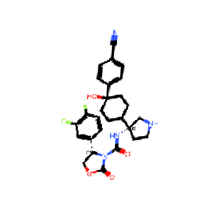 N#Cc1ccc(C2(O)CCC([C@]3(NC(=O)N4C(=O)OC[C@@H]4c4ccc(F)c(F)c4)CCNC3)CC2)cc1